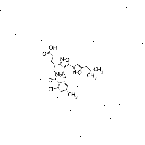 Cc1ccc(C(=O)NCC(CCC(=O)O)c2noc(-c3cc(CC(C)C)on3)c2C2CC2)c(Cl)c1